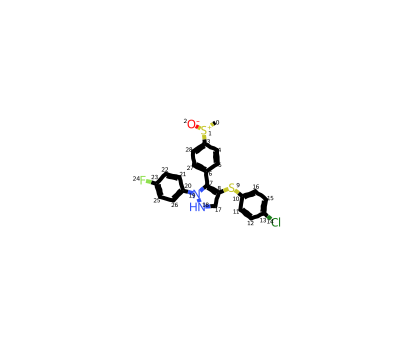 C[S+]([O-])c1ccc(C2=C(Sc3ccc(Cl)cc3)CNN2c2ccc(F)cc2)cc1